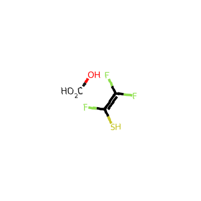 FC(F)=C(F)S.O=C(O)O